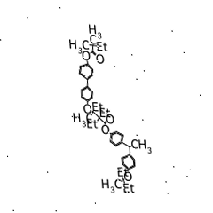 CCC(C)(CC)Oc1ccc(C(C)c2ccc(OC(=O)C(CC)(CC)C(C)(CC)Oc3ccc(-c4ccc(OC(=O)C(C)(C)CC)cc4)cc3)cc2)cc1